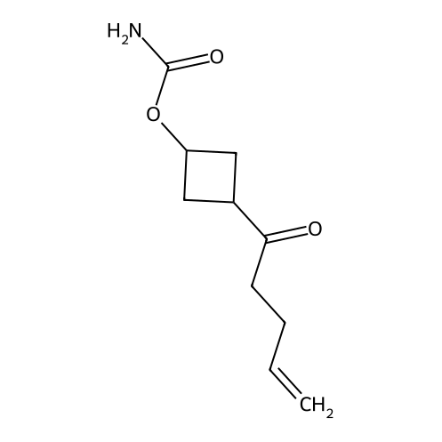 C=CCCC(=O)C1CC(OC(N)=O)C1